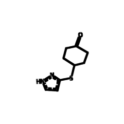 O=C1CCC(Sc2cc[nH]n2)CC1